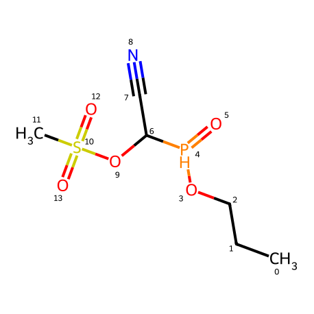 CCCO[PH](=O)C(C#N)OS(C)(=O)=O